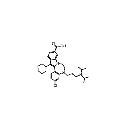 CC(C)N(CCCN1CCn2c(c(C3CCCCC3)c3ccc(C(=O)O)cc32)-c2ccc(Cl)cc21)C(C)C